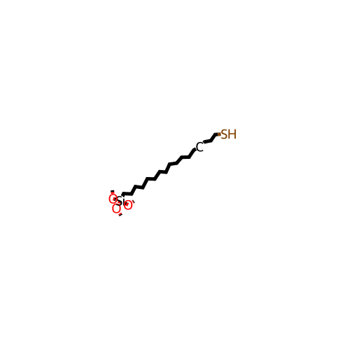 CO[Si](CCCCCCCCCCCCCCCCCS)(OC)OC